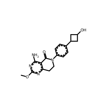 COc1nc(N)c2c(n1)CCN(c1ccc(C3CC(O)C3)cc1)C2=O